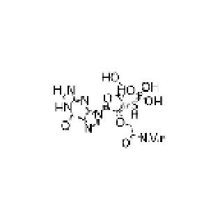 CNC(=O)CO[C@H]1[C@@H]([SH]=P(O)(O)O)[C@@H](CO)O[C@H]1n1cnc2c(=O)[nH]c(N)nc21